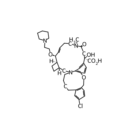 CN1CC/C=C/[C@H](OCCN2CCCCC2)[C@@H]2CC[C@H]2CN2CCCCc3cc(Cl)ccc3COc3ccc(cc32)[C@@](O)(C(=O)O)CC1=O